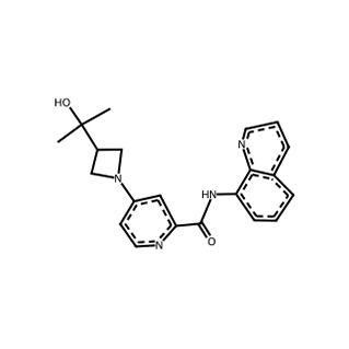 CC(C)(O)C1CN(c2ccnc(C(=O)Nc3cccc4cccnc34)c2)C1